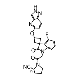 N#C[C@@H]1CCCN1C(=O)CN1C(=O)C2(CC(Oc3ccc4n[nH]cc4n3)C2)c2c(F)cccc21